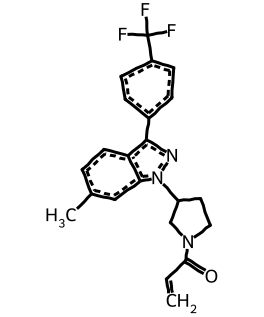 C=CC(=O)N1CCC(n2nc(-c3ccc(C(F)(F)F)cc3)c3ccc(C)cc32)C1